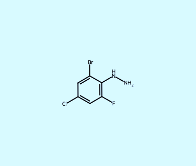 NNc1c(F)cc(Cl)cc1Br